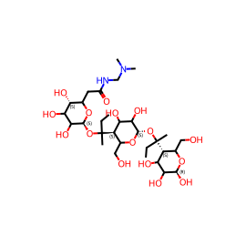 CCC(C)(O[C@@H]1OC(CC(=O)NCN(C)C)[C@@H](O)C(O)C1O)[C@@H]1C(CO)O[C@@H](OC(C)(CC)[C@@H]2C(CO)O[C@@H](O)C(O)C2O)C(O)C1O